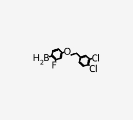 Bc1ccc(OCCc2ccc(Cl)c(Cl)c2)cc1F